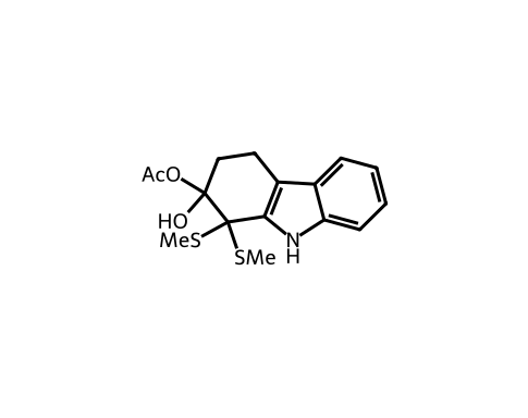 CSC1(SC)c2[nH]c3ccccc3c2CCC1(O)OC(C)=O